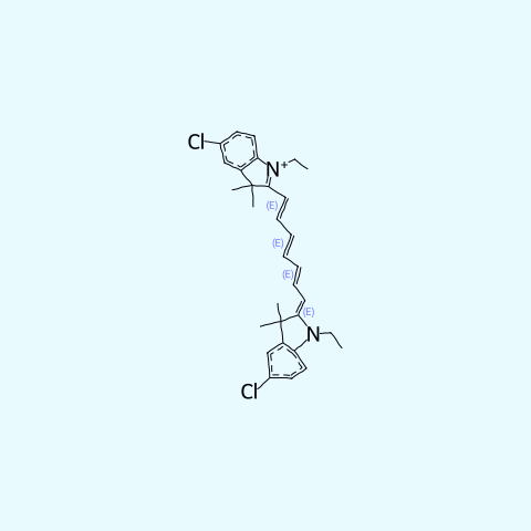 CCN1/C(=C/C=C/C=C/C=C/C2=[N+](CC)c3ccc(Cl)cc3C2(C)C)C(C)(C)c2cc(Cl)ccc21